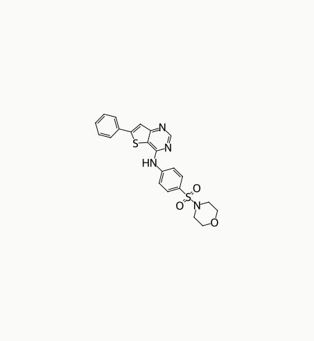 O=S(=O)(c1ccc(Nc2ncnc3cc(-c4ccccc4)sc23)cc1)N1CCOCC1